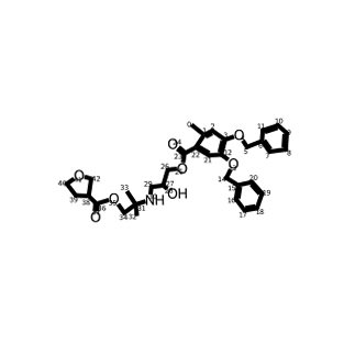 Cc1cc(OCc2ccccc2)c(OCc2ccccc2)cc1C(=O)OCC(O)CNC(C)(C)COC(=O)C1CCOC1